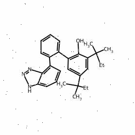 CCC(C)(C)c1cc(-c2ccccc2-c2cccc3[nH]nnc23)c(O)c(C(C)(C)CC)c1